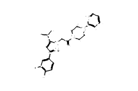 Cc1cc(-c2cc(C(C)C)n(CC(=O)N3CCN(c4ccccn4)CC3)n2)ccc1F